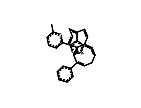 Cc1cccc(-c2n[nH]cc2C2=C\C=C\C3=C\C(c4ccccc4)=C/CC=C=C3/C=C\2)n1